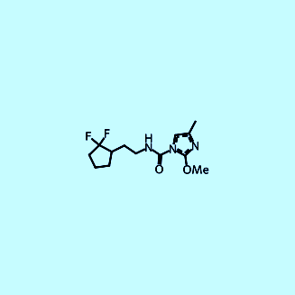 COc1nc(C)cn1C(=O)NCCC1CCCC1(F)F